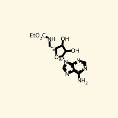 CCOC(=O)NC[C@H]1O[C@@H](n2cnc3c(N)ncnc32)C(O)C1O